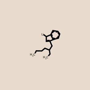 [Li][CH]1C=C(CC(CC)CCCC)c2ccccc21